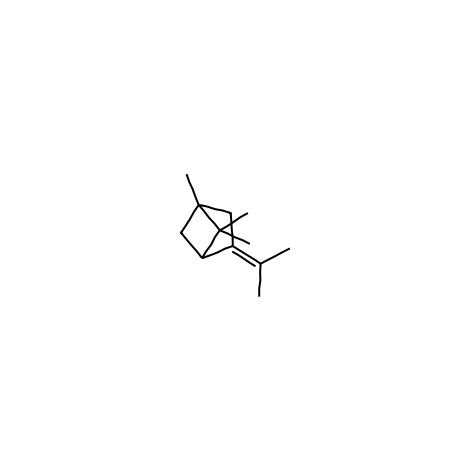 CC(C)=C1CC2(C)CC1C2(C)C